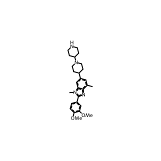 COc1ccc(-c2nc3c(C)cc(C4CCN(C5CCNCC5)CC4)cc3n2C)cc1OC